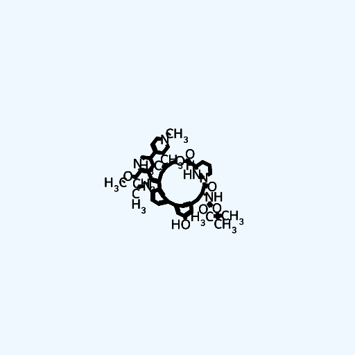 CCn1c(C2=C([C@H](C)OC)N=CC(C3=CCN(C)CC3)C2)c2c3cc(ccc31)-c1cc(O)cc(c1)C[C@H](NC(=O)OC(C)(C)C)C(=O)N1CCC[C@H](N1)C(=O)OCC(C)(C)C2